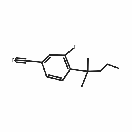 CCCC(C)(C)c1ccc(C#N)cc1F